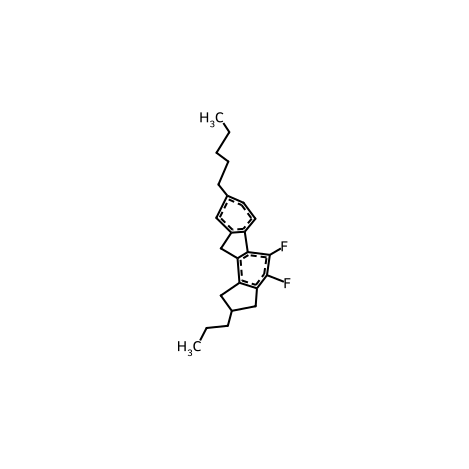 CCCCCc1ccc2c(c1)Cc1c3c(c(F)c(F)c1-2)CC(CCC)C3